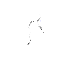 C=CCC/C=C\C(C#N)=C/C